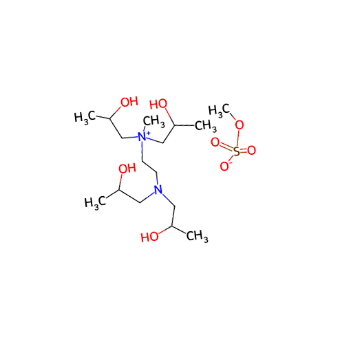 CC(O)CN(CC[N+](C)(CC(C)O)CC(C)O)CC(C)O.COS(=O)(=O)[O-]